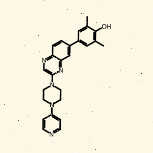 Cc1cc(-c2ccc3ncc(N4CCN(c5ccncc5)CC4)nc3c2)cc(C)c1O